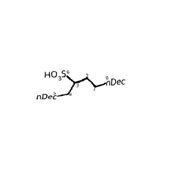 CCCCCCCCCCCCC(CCCCCCCCCCC)S(=O)(=O)O